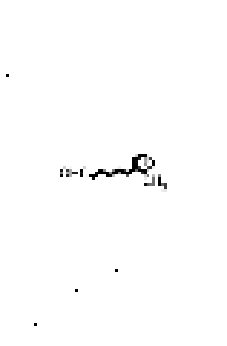 CC1OCCC1CCCCCC=O